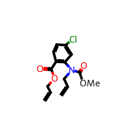 C=CCOC(=O)c1ccc(Cl)cc1N(CC=C)C(=O)OC